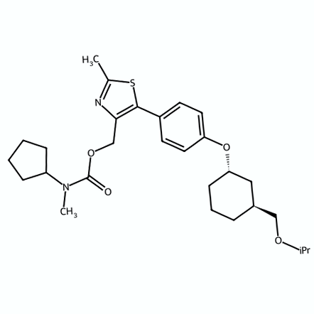 Cc1nc(COC(=O)N(C)C2CCCC2)c(-c2ccc(O[C@H]3CCC[C@H](COC(C)C)C3)cc2)s1